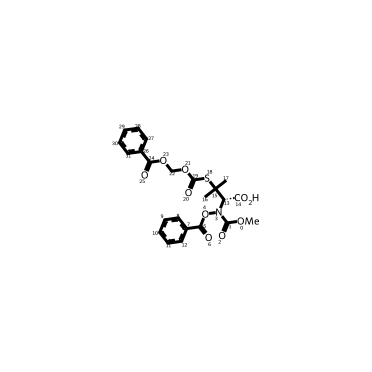 COC(=O)N(OC(=O)c1ccccc1)[C@@H](C(=O)O)C(C)(C)SC(=O)OCOC(=O)c1ccccc1